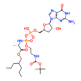 CCCC(CCC)COC(=O)[C@H](C)NP(=O)(OCCNC(=O)OC(C)(C)C)OP(=O)(O)OC[C@@H]1C[C@@H](O)[C@H](n2cnc3c(=O)[nH]c(N)nc32)O1